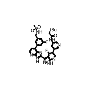 CC(C)(C)CC(=O)Nc1cncc(-c2cnc3[nH]nc(-c4nc5c(-c6cc(F)cc(CNS(C)(=O)=O)c6)ccnc5[nH]4)c3c2F)c1